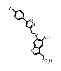 Cc1cc2c(CC(=O)O)csc2cc1OCc1cc(-c2ccc(Cl)cc2)on1